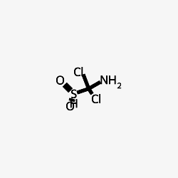 NC(Cl)(Cl)[SH](=O)=O